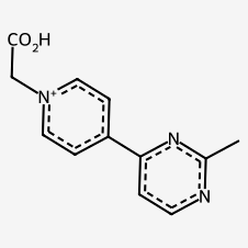 Cc1nccc(-c2cc[n+](CC(=O)O)cc2)n1